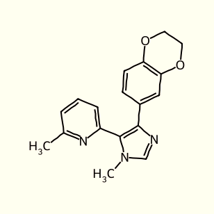 Cc1cccc(-c2c(-c3ccc4c(c3)OCCO4)ncn2C)n1